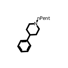 CCCCCN1CCC(c2ccccc2)CC1